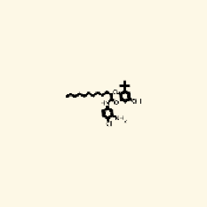 CCCCCCCCCCC(Oc1ccc(O)cc1C(C)(C)C)C(=O)Nc1ccc(Cl)c(N)c1